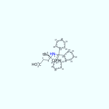 CC(C)(C)[C@@](CCC(=O)O)(NC(c1ccccc1)(c1ccccc1)c1ccccc1)C(=O)O